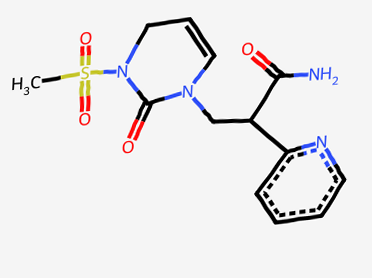 CS(=O)(=O)N1CC=CN(CC(C(N)=O)c2ccccn2)C1=O